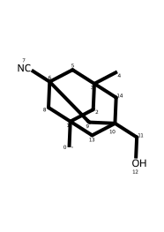 [CH2]C12CC3(C)CC(C#N)(C1)CC(CO)(C2)C3